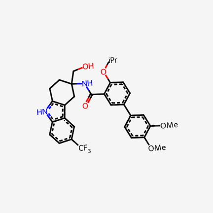 COc1ccc(-c2ccc(OC(C)C)c(C(=O)NC3(CO)CCc4[nH]c5ccc(C(F)(F)F)cc5c4C3)c2)cc1OC